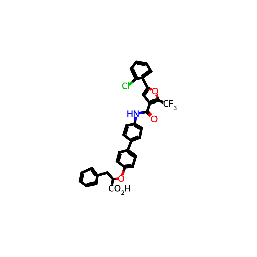 O=C(Nc1ccc(-c2ccc(OC(Cc3ccccc3)C(=O)O)cc2)cc1)c1cc(-c2ccccc2Cl)oc1C(F)(F)F